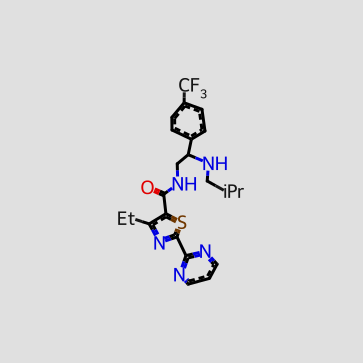 CCc1nc(-c2ncccn2)sc1C(=O)NCC(NCC(C)C)c1ccc(C(F)(F)F)cc1